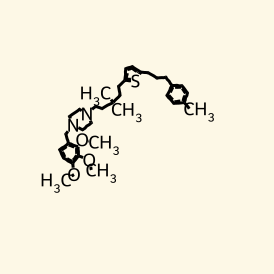 COc1ccc(CN2CCN(CCC(C)(C)CCc3ccc(CCCc4ccc(C)cc4)s3)CC2)c(OC)c1OC